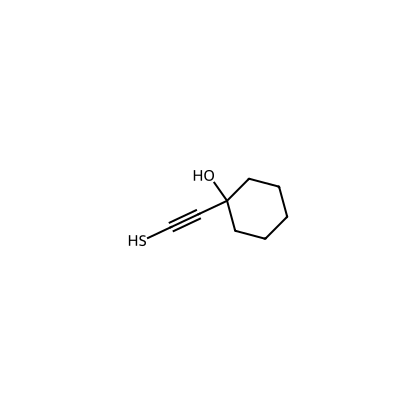 OC1(C#CS)CCCCC1